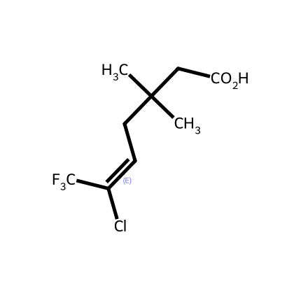 CC(C)(C/C=C(/Cl)C(F)(F)F)CC(=O)O